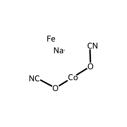 N#C[O][Co][O]C#N.[Fe].[Na]